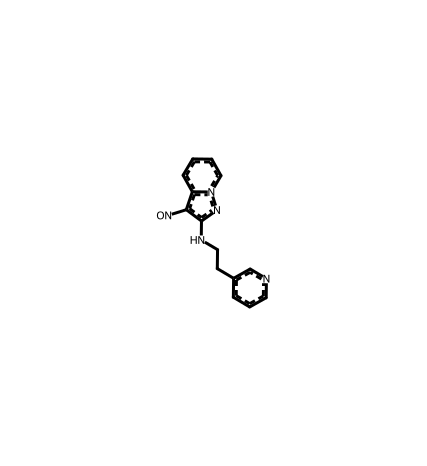 O=Nc1c(NCCc2cccnc2)nn2ccccc12